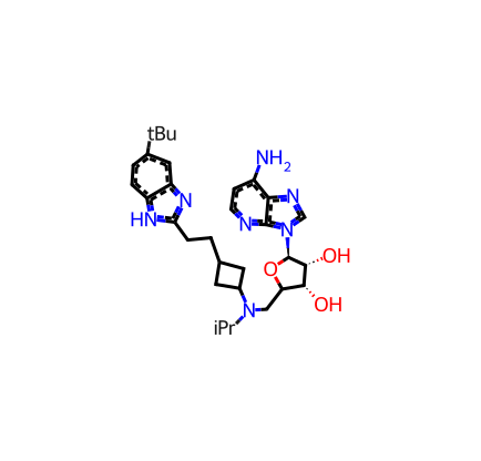 CC(C)N(CC1O[C@@H](n2cnc3c(N)ccnc32)[C@H](O)[C@@H]1O)C1CC(CCc2nc3cc(C(C)(C)C)ccc3[nH]2)C1